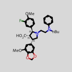 CCCCN(CCN1C[C@H](c2cc(OC)c3c(c2)OCO3)[C@H](C(=O)O)[C@H]1c1ccc(OC)c(F)c1)c1ccccc1